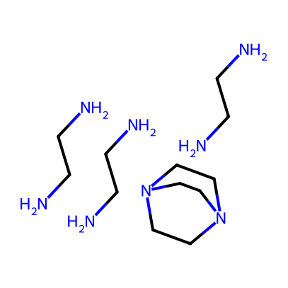 C1CN2CCN1CC2.NCCN.NCCN.NCCN